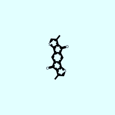 Cc1csc2c1c(=O)c1cc3c(cc12)c(=O)c1c(C)csc13